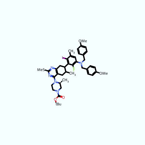 COc1ccc(CN(Cc2ccc(OC)cc2)c2cc(C)c(I)c(C3Cc4nc(SC)nc(N5CCN(C(=O)OC(C)(C)C)C[C@@H]5C)c4CC3C)c2F)cc1